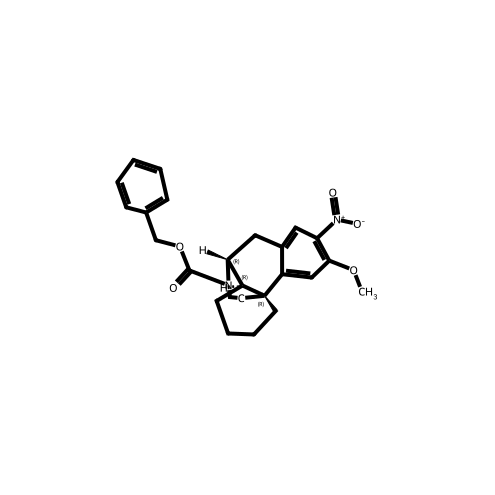 COc1cc2c(cc1[N+](=O)[O-])C[C@@H]1[C@@H]3CCCC[C@]23CCN1C(=O)OCc1ccccc1